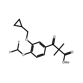 COC(=O)C(C)(C)C(=O)c1ccc(OC(F)F)c(OCC2CC2)c1